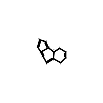 [C]1=C2C(=CC=C3CC=CCC23)C=C1